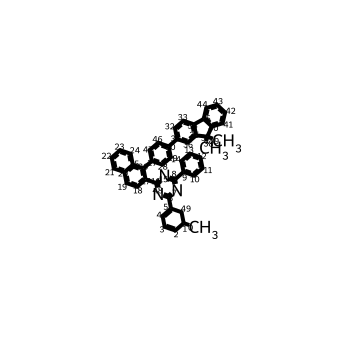 CC1C=CC=C(c2nc(-c3ccccc3)nc(-c3ccc4ccccc4c3-c3ccc(-c4ccc5c(c4)C(C)(C)c4ccccc4-5)cc3)n2)C1